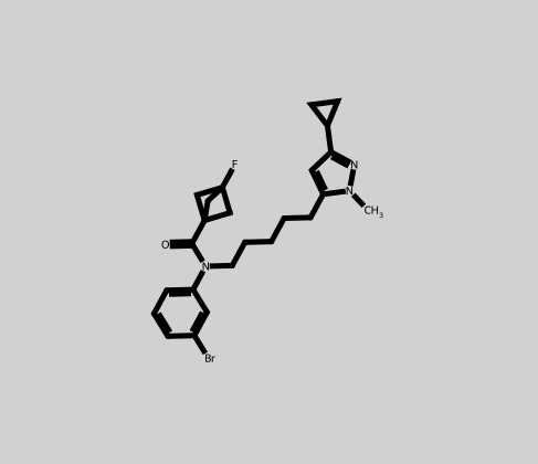 Cn1nc(C2CC2)cc1CCCCCN(C(=O)C12CC(F)(C1)C2)c1cccc(Br)c1